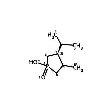 CC(C)[C@@H]1CP(=O)(O)CC1C